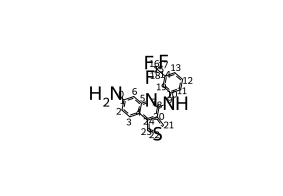 Nc1ccc2c(c1)nc(Nc1cccc(C(F)(F)F)c1)c1cscc12